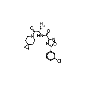 C[C@H](NC(=O)c1noc(-c2cccc(Cl)c2)n1)C(=O)N1CCC2(CC1)CC2